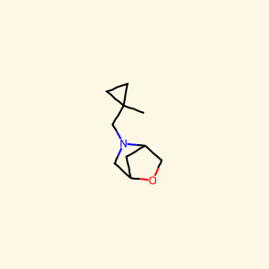 CC1(CN2CC3CC2CO3)CC1